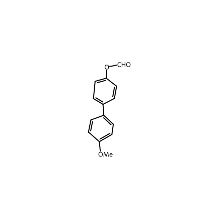 COc1ccc(-c2ccc(OC=O)cc2)cc1